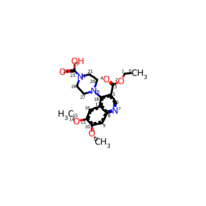 CCOC(=O)c1cnc2cc(OC)c(OC)cc2c1N1CCN(C(=O)O)CC1